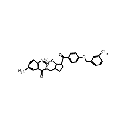 Cc1cccc(COc2ccc(C(=O)C3CCC(Cn4nnc5ccc(C)cc5c4=O)C3C(=O)O)cc2)c1